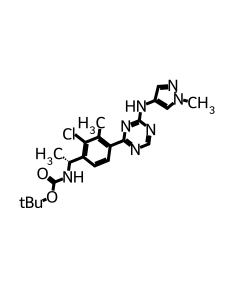 Cc1c(-c2ncnc(Nc3cnn(C)c3)n2)ccc([C@@H](C)NC(=O)OC(C)(C)C)c1Cl